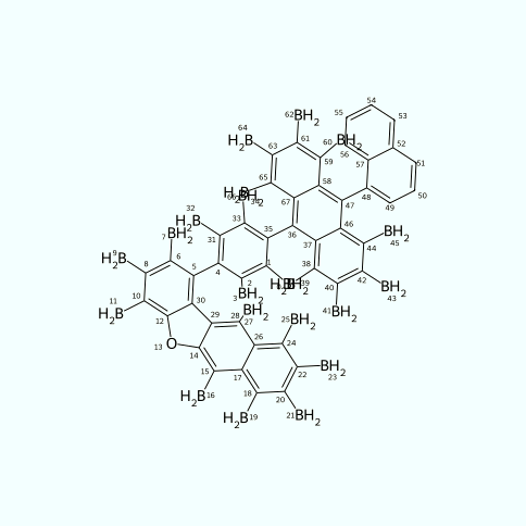 Bc1c(B)c(-c2c(B)c(B)c(B)c3oc4c(B)c5c(B)c(B)c(B)c(B)c5c(B)c4c23)c(B)c(B)c1-c1c2c(B)c(B)c(B)c(B)c2c(-c2cccc3ccccc23)c2c(B)c(B)c(B)c(B)c12